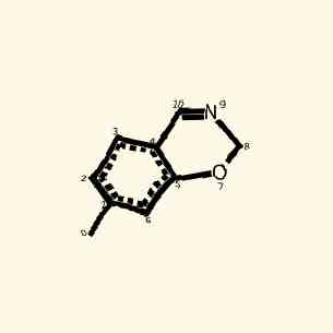 Cc1ccc2c(c1)OCN=C2